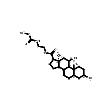 CC(C)(C)OC(=O)NCCNC(=O)C1CCC2C3CCC4CC(O)CCC4(C)C3C(O)C[C@]12C